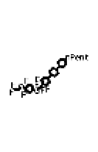 CCCCCC1CCC(C2CCC(c3cc(F)c(C(F)(F)Oc4cc(F)c(OC=C(F)F)c(F)c4)c(F)c3)CC2)CC1